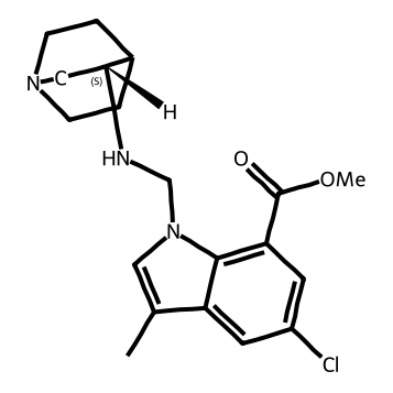 COC(=O)c1cc(Cl)cc2c(C)cn(CN[C@@H]3CN4CCC3CC4)c12